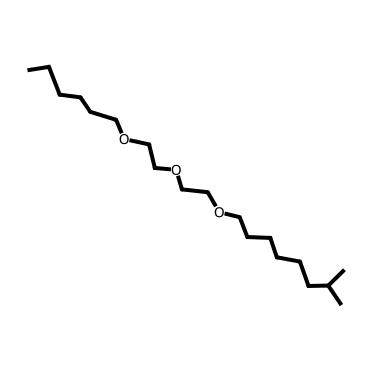 CCCCCCOCCOCCOCCCCCCC(C)C